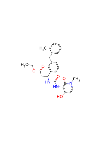 CCOC(=O)CC(NC(=O)Nc1c(O)ccn(C)c1=O)c1cccc(Cc2ccccc2C)c1